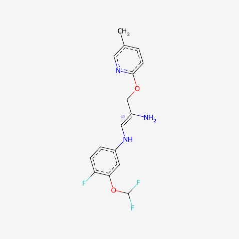 Cc1ccc(OC/C(N)=C/Nc2ccc(F)c(OC(F)F)c2)nc1